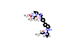 COC(=O)N[C@H](C(=O)N1C2CC2C[C@H]1c1ncc(-c2ccc(-c3ccc4c(ccc5[nH]c([C@@H]6C[C@H]7C[C@H]7N6C(=O)CC(C)C)nc54)c3)cc2)[nH]1)C(C)C